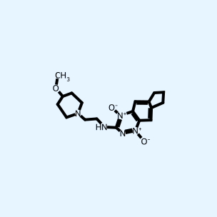 COC1CCN(CCNc2n[n+]([O-])c3cc4c(cc3[n+]2[O-])CCC4)CC1